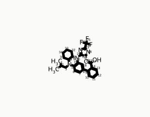 CC(C)CN(c1ccc(-c2ccccc2C(=O)O)cc1Nc1nc(C(F)(F)F)ns1)C1CCCCC1